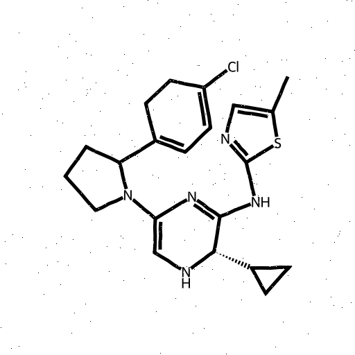 Cc1cnc(NC2=NC(N3CCCC3C3=CC=C(Cl)CC3)=CN[C@H]2C2CC2)s1